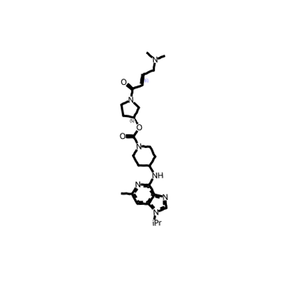 Cc1cc2c(ncn2C(C)C)c(NC2CCN(C(=O)O[C@H]3CCN(C(=O)/C=C/CN(C)C)C3)CC2)n1